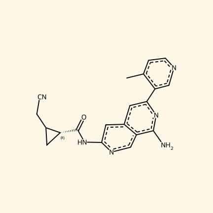 Cc1ccncc1-c1cc2cc(NC(=O)[C@@H]3CC3CC#N)ncc2c(N)n1